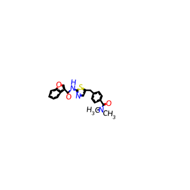 CN(C)C(=O)c1ccc(Cc2cnc(NC(=O)c3coc4ccccc34)s2)cc1